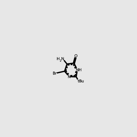 CC(C)(C)c1nc(Br)c(N)c(=O)[nH]1